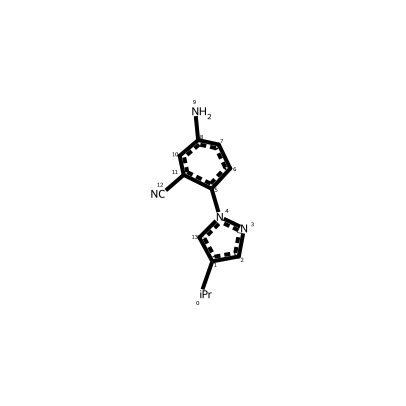 CC(C)c1cnn(-c2ccc(N)cc2C#N)c1